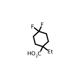 CCC1(C(=O)O)CCC(F)(F)CC1